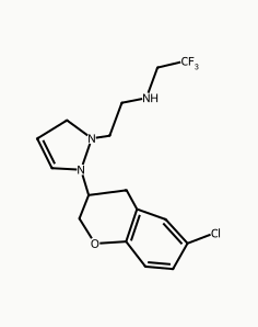 FC(F)(F)CNCCN1CC=CN1C1COc2ccc(Cl)cc2C1